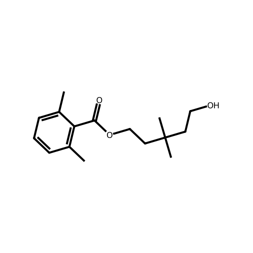 Cc1cccc(C)c1C(=O)OCCC(C)(C)CCO